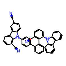 N#Cc1ccc2c(c1)c1cccc(C#N)c1n2-c1ccc(-c2ccccc2-c2c(C#N)cccc2-n2c3ccc#cc3c3c#cccc32)cc1